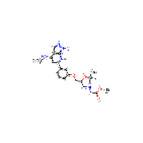 CCOC(=O)Nc1cc(-c2cccc(OCC(CNCC(=O)OC(C)(C)C)O[Si](C)(C)C(C)(C)C)c2)nc2c1cnn2C(C)C